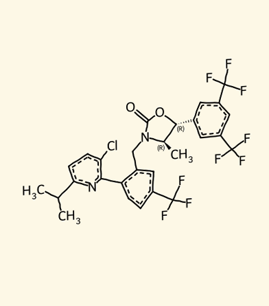 CC(C)c1ccc(Cl)c(-c2ccc(C(F)(F)F)cc2CN2C(=O)O[C@H](c3cc(C(F)(F)F)cc(C(F)(F)F)c3)[C@H]2C)n1